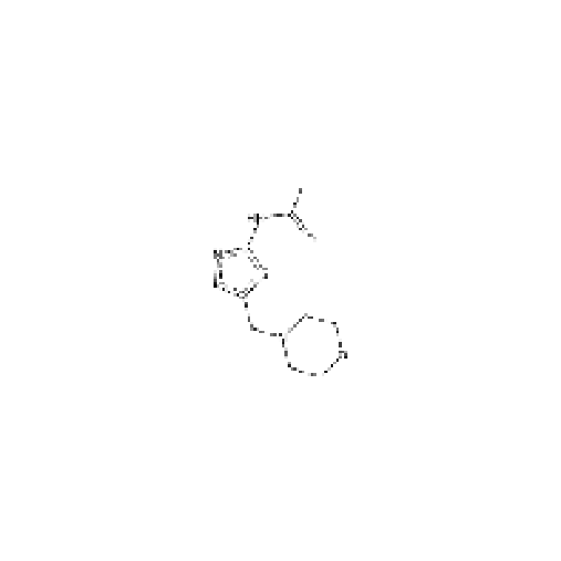 CC(=O)Nc1ncc(CN2CCOCC2)s1